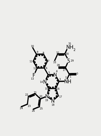 C=C(Nc1nc(-c2ccc(C)cc2F)nc2c1cnn2C(/C=C\CC)=C/C)C(=C)S/C(N)=C\C